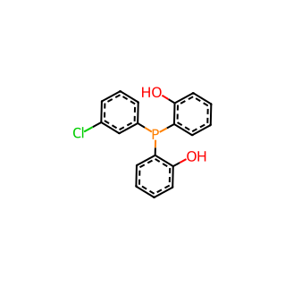 Oc1ccccc1P(c1cccc(Cl)c1)c1ccccc1O